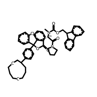 CN(C(=O)OCC1c2ccccc2-c2ccccc21)[C@@H](CC(=O)OC(c1ccccc1)(c1ccc(C2CCCCCCCCC2)cc1)c1ccccc1Cl)C(=O)N1CCCC1